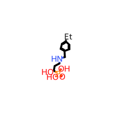 CCc1ccc(CNCCC(O)P(=O)(O)O)cc1